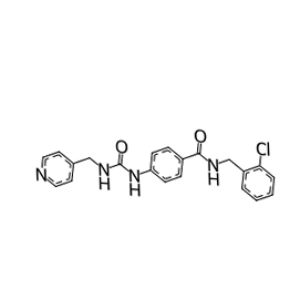 O=C(NCc1ccncc1)Nc1ccc(C(=O)NCc2ccccc2Cl)cc1